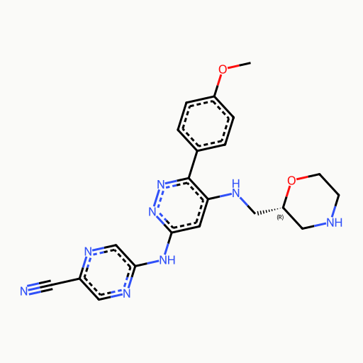 COc1ccc(-c2nnc(Nc3cnc(C#N)cn3)cc2NC[C@H]2CNCCO2)cc1